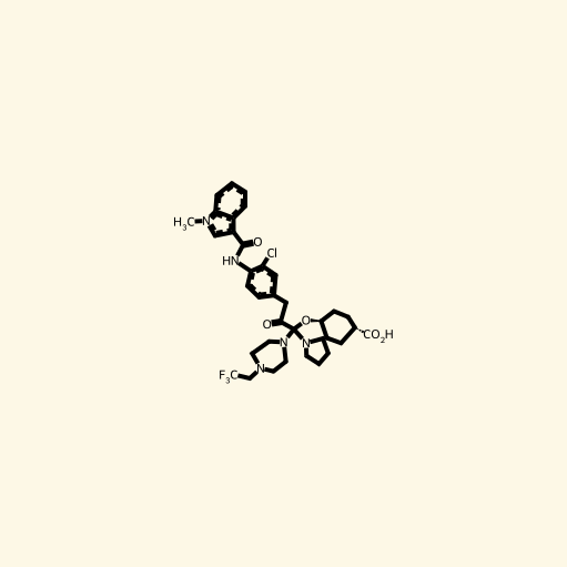 Cn1cc(C(=O)Nc2ccc(CC(=O)C(O[C@H]3CC[C@H](C(=O)O)CC3)(N3CCCC3)N3CCN(CC(F)(F)F)CC3)cc2Cl)c2ccccc21